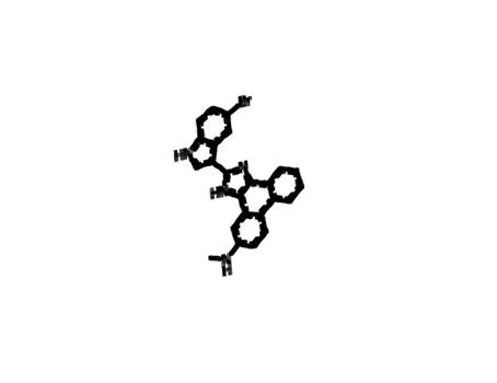 CNc1ccc2c3ccccc3c3nc(-c4c[nH]c5ccc(Br)cc45)[nH]c3c2c1